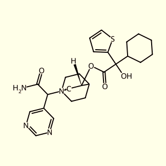 NC(=O)C(c1cncnc1)[N+]12CCC(CC1)[C@@H](OC(=O)C(O)(c1cccs1)C1CCCCC1)C2